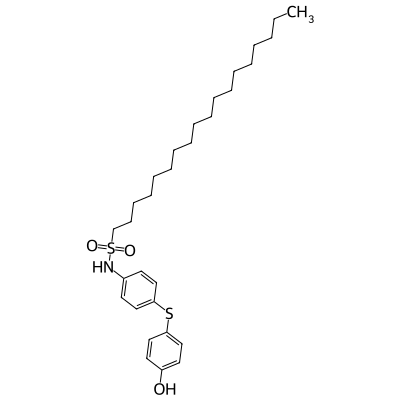 CCCCCCCCCCCCCCCCCCS(=O)(=O)Nc1ccc(Sc2ccc(O)cc2)cc1